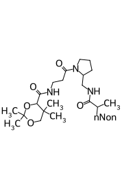 CCCCCCCCCC(C)C(=O)NCC1CCCN1C(=O)CCNC(=O)C1OC(C)(C)OCC1(C)C